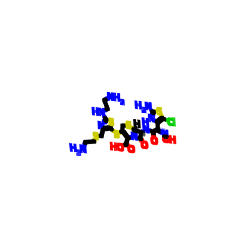 NCCNc1nc(CSCCN)c(SC2=C(C(=O)O)N3C(=O)[C@@H](NC(=O)/C(=N\O)c4nc(N)sc4Cl)[C@@H]3SC2)s1